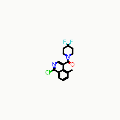 Cc1cccc2c(Cl)ncc(C(=O)N3CCC(F)(F)CC3)c12